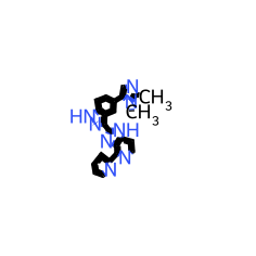 Cc1ncc(-c2ccc3[nH]nc(-c4nc5c(-c6ccccn6)nccc5[nH]4)c3c2)n1C